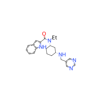 CCN(C(=O)c1cc2ccccc2[nH]1)[C@H]1CCC[C@@H](NCc2cncnc2)C1